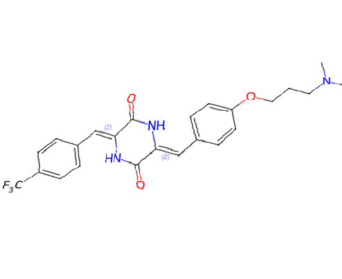 CN(C)CCCOc1ccc(/C=c2\[nH]c(=O)/c(=C/c3ccc(C(F)(F)F)cc3)[nH]c2=O)cc1